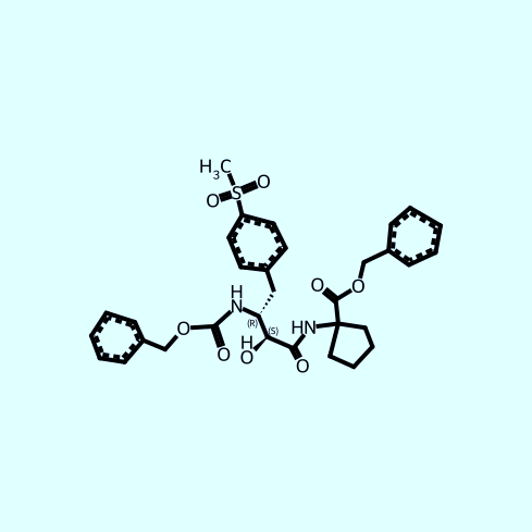 CS(=O)(=O)c1ccc(C[C@@H](NC(=O)OCc2ccccc2)[C@H](O)C(=O)NC2(C(=O)OCc3ccccc3)CCCC2)cc1